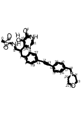 CS(=O)(=O)NCC(Cc1ccc(C#Cc2ccc(CN3CCOCC3)cc2)cc1)c1nc[nH]c(=O)c1O